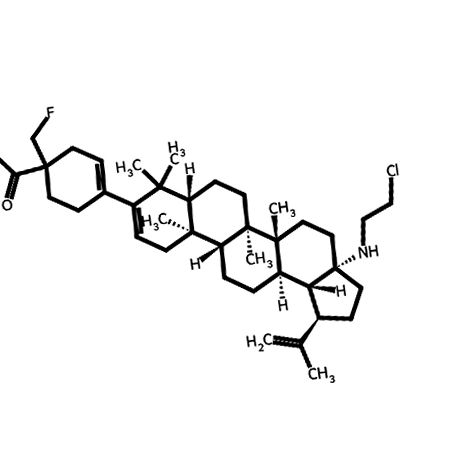 C=C(C)[C@@H]1CC[C@]2(NCCCl)CC[C@]3(C)[C@H](CC[C@@H]4[C@@]5(C)CC=C(C6=CCC(CF)(C(=O)O)CC6)C(C)(C)[C@@H]5CC[C@]43C)[C@@H]12